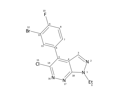 CCn1ncc2c(-c3ccc(F)c(Br)c3)c(Cl)nnc21